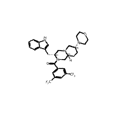 O=C(c1cc(C(F)(F)F)cc(C(F)(F)F)c1)N1C[C@H]2CC[C@@H](N3CCOCC3)CN2C[C@H]1Cc1c[nH]c2ccccc12